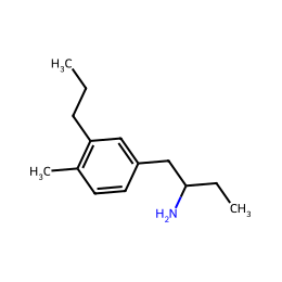 CCCc1cc(CC(N)CC)ccc1C